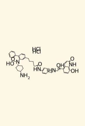 Cl.Cl.NC1CCC(N(C(=O)O)c2cc(CCCCC(=O)Nc3ccc(CNC[C@@H](O)c4ccc(O)c5[nH]c(=O)ccc45)cc3)ccc2-c2ccccc2)CC1